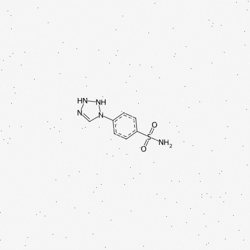 NS(=O)(=O)c1ccc(N2C=NNN2)cc1